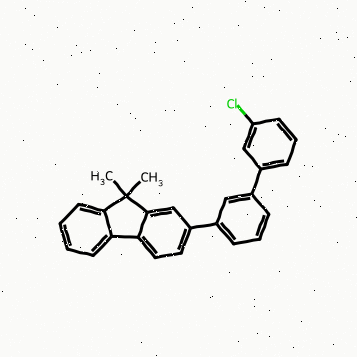 CC1(C)c2ccccc2-c2ccc(-c3cccc(-c4cccc(Cl)c4)c3)cc21